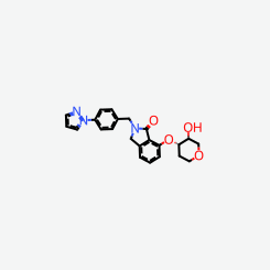 O=C1c2c(cccc2O[C@H]2CCOC[C@@H]2O)CN1Cc1ccc(-n2cccn2)cc1